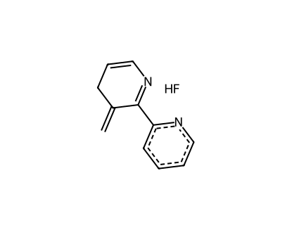 C=C1CC=CN=C1c1ccccn1.F